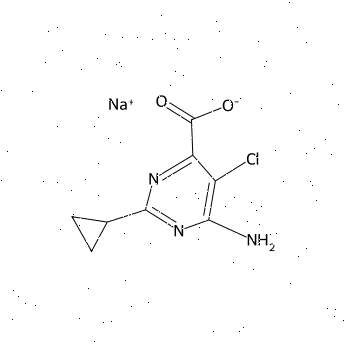 Nc1nc(C2CC2)nc(C(=O)[O-])c1Cl.[Na+]